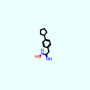 N=C(Cc1ccc(C2CCCC2)cc1)NO